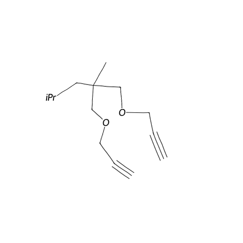 C#CCOCC(C)(COCC#C)CC(C)C